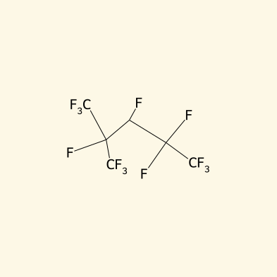 FC(C(F)(F)C(F)(F)F)C(F)(C(F)(F)F)C(F)(F)F